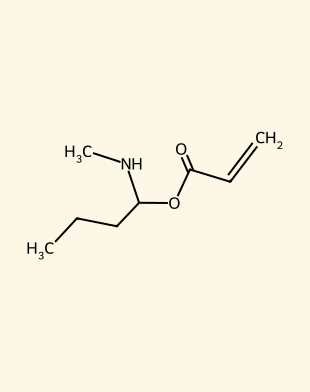 C=CC(=O)OC(CCC)NC